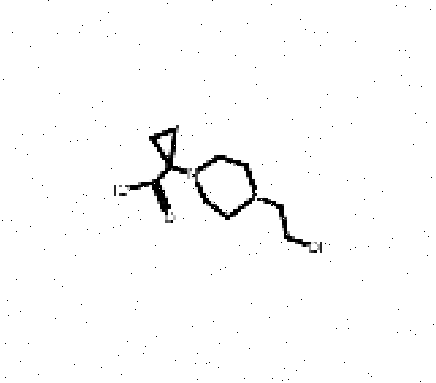 O=C(O)C1(N2CCN(CCO)CC2)CC1